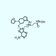 CC(=O)n1ccc2cc(-c3ccco3)c(Sc3nc4c(N)ncnc4n3CCNCCC(=O)NO)cc21